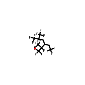 FC(F)(I)CC(CC(F)(C(F)(F)F)C(F)(F)F)C(F)(C(F)(F)F)C(F)(F)F